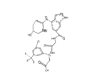 O=C(O)C[C@H](NC(=O)CNC(=O)c1cc(NC2=NCC(O)CN2)c2cn[nH]c2c1)c1cc(Cl)cc(C(F)(F)F)c1